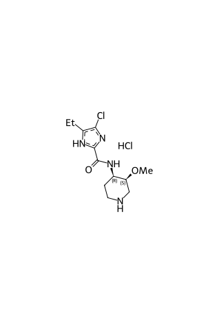 CCc1[nH]c(C(=O)N[C@@H]2CCNC[C@@H]2OC)nc1Cl.Cl